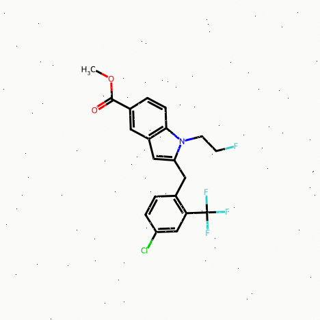 COC(=O)c1ccc2c(c1)cc(Cc1ccc(Cl)cc1C(F)(F)F)n2CCF